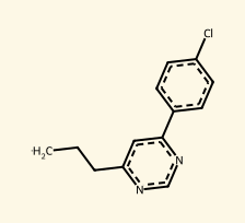 [CH2]CCc1cc(-c2ccc(Cl)cc2)ncn1